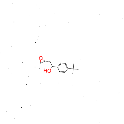 CC(C)(C)c1ccc(C(O)CC2CO2)cc1